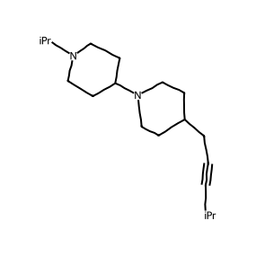 CC(C)C#CCC1CCN(C2CCN(C(C)C)CC2)CC1